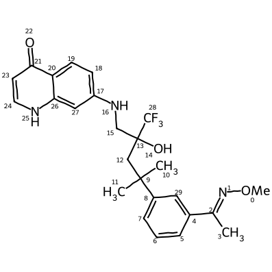 CON=C(C)c1cccc(C(C)(C)CC(O)(CNc2ccc3c(=O)cc[nH]c3c2)C(F)(F)F)c1